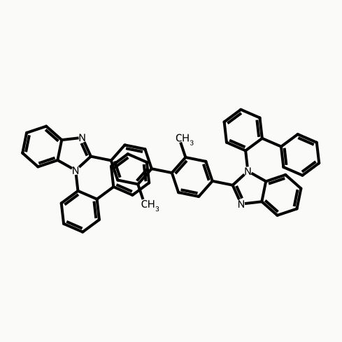 Cc1cc(-c2nc3ccccc3n2-c2ccccc2-c2ccccc2)ccc1-c1ccc(-c2nc3ccccc3n2-c2ccccc2-c2ccccc2)cc1C